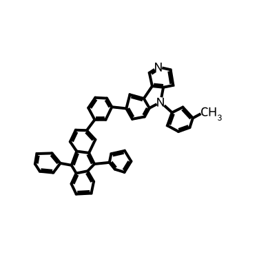 Cc1cccc(-n2c3ccncc3c3cc(-c4cccc(-c5ccc6c(-c7ccccc7)c7ccccc7c(-c7ccccc7)c6c5)c4)ccc32)c1